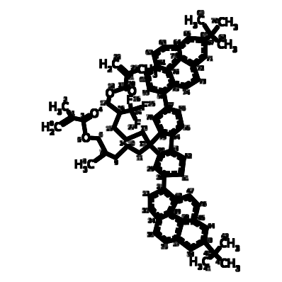 C=C(C)C(=O)OCC(C)CCCC1(CCCC(COC(=O)C(=C)C)C(F)(F)F)c2cc(-c3ccc4ccc5cc(C(C)(C)C)cc6ccc3c4c56)ccc2-c2ccc(-c3ccc4ccc5cc(C(C)(C)C)cc6ccc3c4c56)cc21